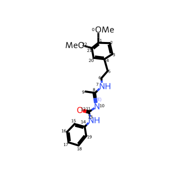 COc1ccc(CCN/C(C)=N/C(=O)Nc2ccccc2)cc1OC